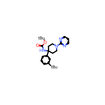 CC(C)(C)OC(=O)NC1(c2cccc(C(C)(C)C)c2)CCN(c2ncccn2)CC1